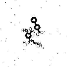 CNCCN(C)c1ccc(O)c(C(=O)Nc2cc(-c3ccccc3)ccc2C(=O)[O-])c1.[Na+]